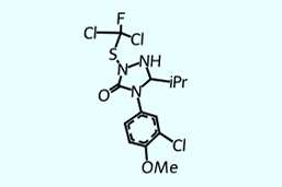 COc1ccc(N2C(=O)N(SC(F)(Cl)Cl)NC2C(C)C)cc1Cl